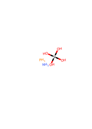 N.O[Si](O)(O)O.P